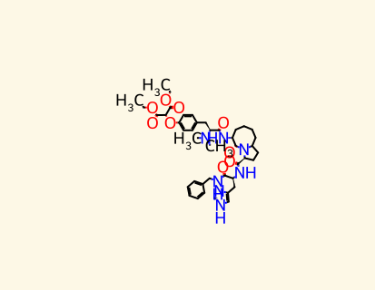 CCOC(=O)C(Oc1ccc(C[C@@H](C(=O)N[C@H]2CCCCC3CC[C@@H](C(=O)N[C@@H](Cc4c[nH]cn4)C(=O)NCc4ccccc4)N3C2=O)N(C)C)cc1)C(=O)OCC